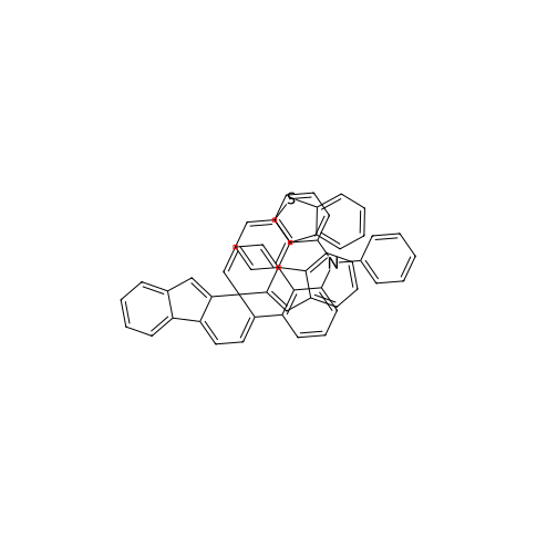 C1=CC2(C3=Cc4ccccc4C3=C1)C1=Cc3ccccc3C1=CC=C2c1cccc(N(c2ccccc2)c2ccccc2)c1-c1cccc2sc3ccccc3c12